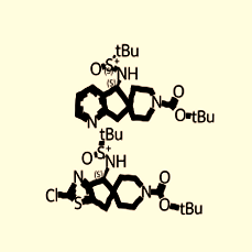 CC(C)(C)OC(=O)N1CCC2(CC1)Cc1ncccc1[C@H]2N[S@+]([O-])C(C)(C)C.CC(C)(C)OC(=O)N1CCC2(CC1)Cc1sc(Cl)nc1[C@H]2N[S+]([O-])C(C)(C)C